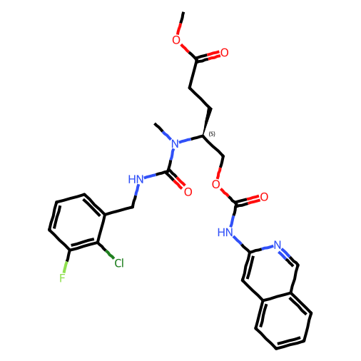 COC(=O)CC[C@@H](COC(=O)Nc1cc2ccccc2cn1)N(C)C(=O)NCc1cccc(F)c1Cl